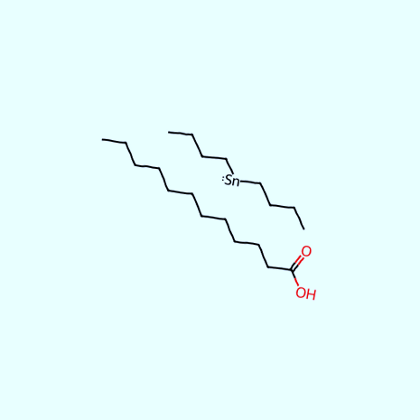 CCCCCCCCCCCC(=O)O.CCC[CH2][Sn][CH2]CCC